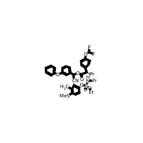 CC(C)[C@H](C(=O)OC(C#N)c1cccc(Oc2ccccc2)c1)c1ccc(OC(F)F)cc1.CCOP(=O)(NC(C)C)Oc1ccc(SC)c(C)c1